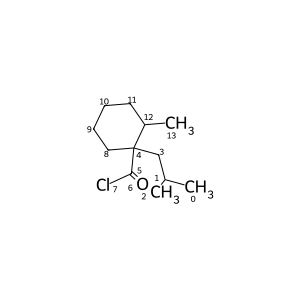 CC(C)CC1(C(=O)Cl)CCCCC1C